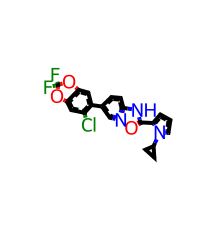 O=C(Nc1ccc(-c2cc3c(cc2Cl)OC(F)(F)O3)cn1)c1cccn1C1CC1